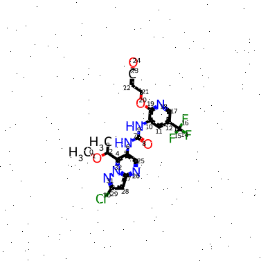 COC(C)c1c(NC(=O)Nc2cc(C(F)(F)F)cnc2OCC=C=O)cnc2cc(Cl)nn12